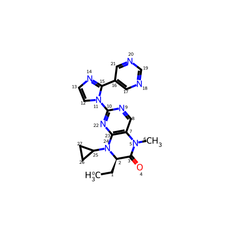 CC[C@@H]1C(=O)N(C)c2cnc(-n3ccnc3-c3cncnc3)nc2N1C1CC1